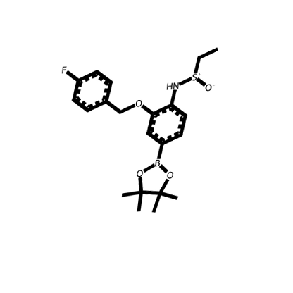 CC[S+]([O-])Nc1ccc(B2OC(C)(C)C(C)(C)O2)cc1OCc1ccc(F)cc1